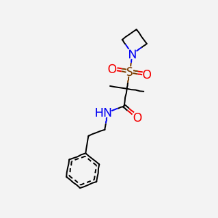 CC(C)(C(=O)NCCc1ccccc1)S(=O)(=O)N1CCC1